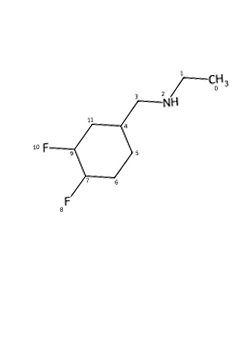 CCNCC1CCC(F)C(F)C1